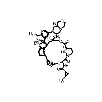 CCn1c(-c2cc(N3CCN4CCOC[C@@H]4C3)cnc2[C@H](C)OC)c2c3cc(ccc31)-c1csc(n1)C[C@H](NC(=O)[C@H]1C[C@@H]1C)C(=O)N1CCC[C@H](N1)C(=O)OCC(C)(C)C2